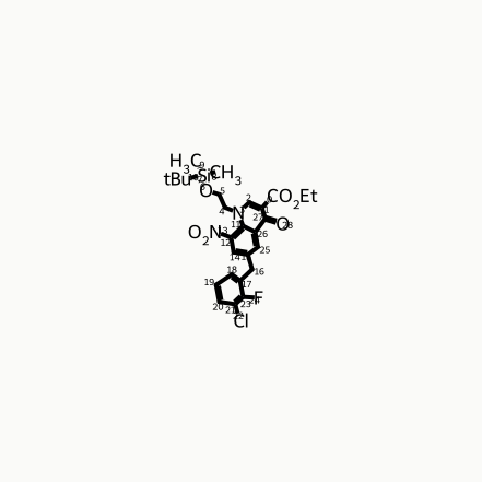 CCOC(=O)c1cn(CCO[Si](C)(C)C(C)(C)C)c2c([N+](=O)[O-])cc(Cc3cccc(Cl)c3F)cc2c1=O